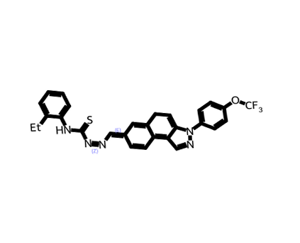 CCc1ccccc1NC(=S)/N=N\C=c1/ccc2c(c1)CC=c1c=2cnn1-c1ccc(OC(F)(F)F)cc1